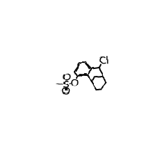 CS(=O)(=O)Oc1cccc2c1C1CCCC(C1)C2Cl